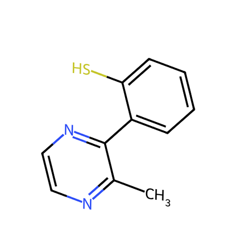 Cc1nccnc1-c1ccccc1S